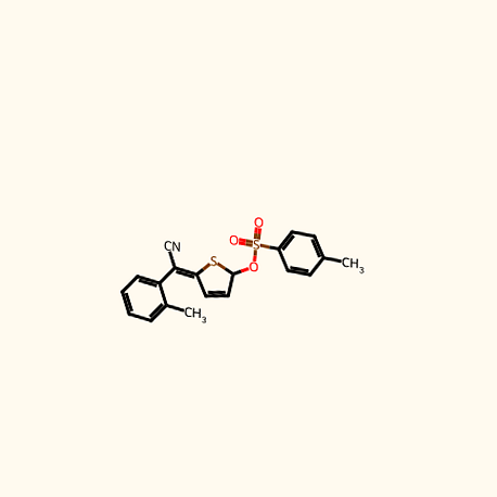 Cc1ccc(S(=O)(=O)OC2C=CC(=C(C#N)c3ccccc3C)S2)cc1